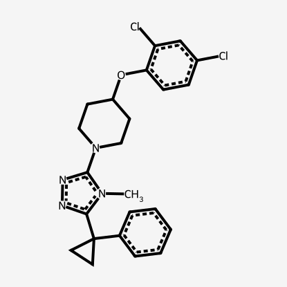 Cn1c(N2CCC(Oc3ccc(Cl)cc3Cl)CC2)nnc1C1(c2ccccc2)CC1